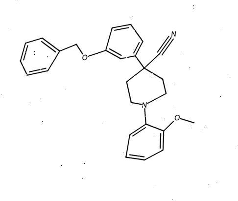 COc1ccccc1N1CCC(C#N)(c2cccc(OCc3ccccc3)c2)CC1